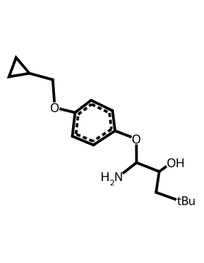 CC(C)(C)CC(O)C(N)Oc1ccc(OCC2CC2)cc1